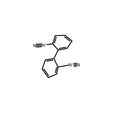 N#[N+]c1ccccc1-c1ccccc1[N+]#N